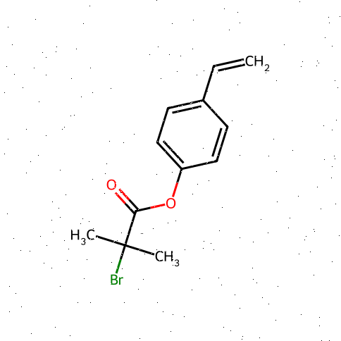 C=Cc1ccc(OC(=O)C(C)(C)Br)cc1